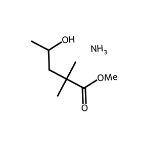 COC(=O)C(C)(C)CC(C)O.N